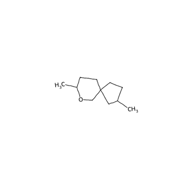 CC1CCC2(CCC(C)OC2)C1